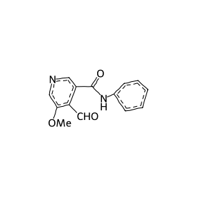 COc1cncc(C(=O)Nc2ccccc2)c1C=O